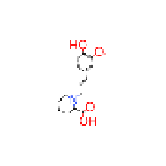 COc1cc(/C=C/CN2CCCCC2C(=O)O)ccc1O